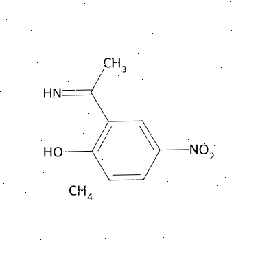 C.CC(=N)c1cc([N+](=O)[O-])ccc1O